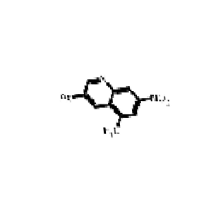 CC(=O)c1cnc2cc([N+](=O)[O-])cc(C(F)(F)F)c2c1